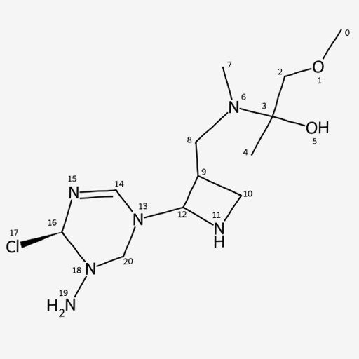 COCC(C)(O)N(C)CC1CNC1N1C=N[C@H](Cl)N(N)C1